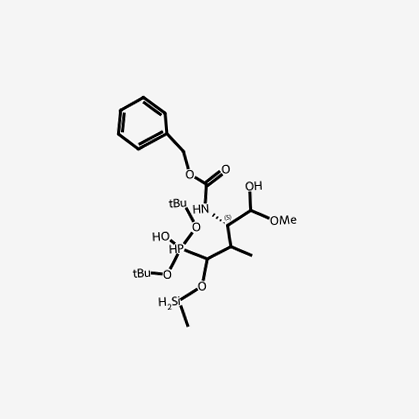 COC(O)[C@@H](NC(=O)OCc1ccccc1)C(C)C(O[SiH2]C)[PH](O)(OC(C)(C)C)OC(C)(C)C